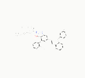 CSCCC(NC(=O)c1ccc(C=Cc2ccccc2Cc2ccccc2)cc1-c1ccccc1C)C(=O)O